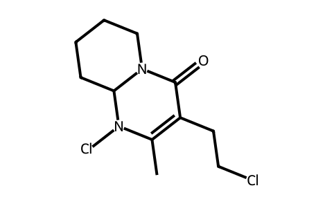 CC1=C(CCCl)C(=O)N2CCCCC2N1Cl